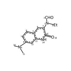 CCN(C=O)c1cc2ccc(N(C)C)cc2[nH]c1=O